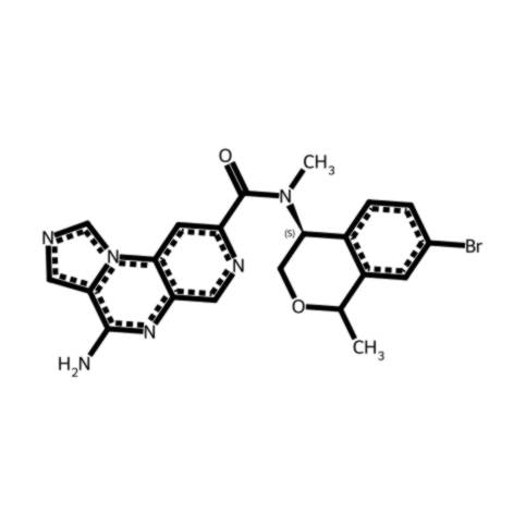 CC1OC[C@@H](N(C)C(=O)c2cc3c(cn2)nc(N)c2cncn23)c2ccc(Br)cc21